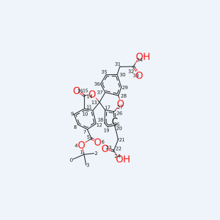 CC(C)(C)OC(=O)c1ccc2c(c1)C1(OC2=O)c2ccc(CC(=O)O)cc2Oc2cc(CC(=O)O)ccc21